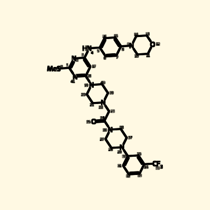 CSc1nc(Nc2ccc(N3CCOCC3)cc2)cc(N2CCN(CC(=O)N3CCN(c4cccc(C(F)(F)F)c4)CC3)CC2)n1